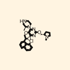 C[C@H]1CNCCN1c1nc(OC[C@@H]2CCCN2C)nc2c1OCC(c1cccc3cccc(Cl)c13)O2